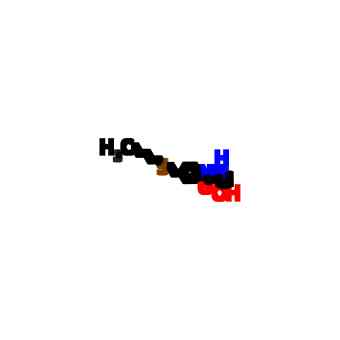 CCCCCCSCCc1ccc(NC(=O)[C@H]2NCC[C@@H]2O)cc1